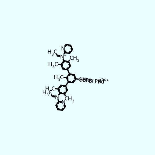 CC=[N+](c1ccccn1)c1c(C)cc(-c2cc(O)cc(-c3cc(C)c([N+](=CC)c4ccccn4)c(C)c3)c2C)cc1C.[Br-].[Br-].[Br-].[Br-].[Pd+2].[Pd+2]